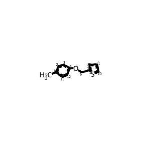 Cc1ccc(OCc2c[c]cs2)cc1